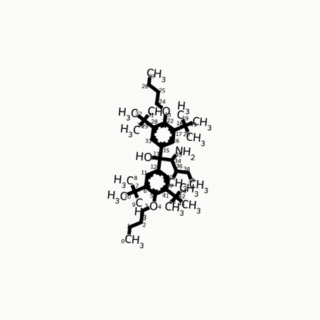 CCCCOc1c(C(C)(C)C)cc(C(O)(c2cc(C(C)(C)C)c(OCCCC)c(C(C)(C)C)c2)C(N)C(C)CC)cc1C(C)(C)C